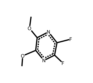 COc1nc(F)c(F)nc1OC